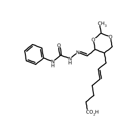 CC1OCC(CC=CCCCC(=O)O)C(C=NNC(=O)Nc2ccccc2)O1